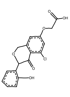 O=C(O)COc1cc(Cl)c2c(c1)COC(c1ccccc1O)C2=O